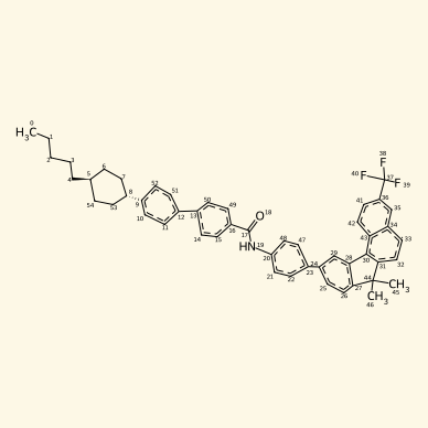 CCCCC[C@H]1CC[C@H](c2ccc(-c3ccc(C(=O)Nc4ccc(-c5ccc6c(c5)-c5c(c[c]c7cc(C(F)(F)F)ccc57)C6(C)C)cc4)cc3)cc2)CC1